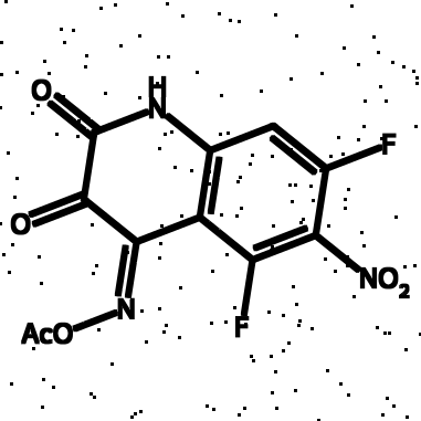 CC(=O)ON=C1C(=O)C(=O)Nc2cc(F)c([N+](=O)[O-])c(F)c21